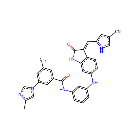 Cc1cn(-c2cc(C(=O)Nc3cccc(Nc4ccc5c(c4)NC(=O)C5=Cc4cc(C#N)c[nH]4)c3)cc(C(F)(F)F)c2)cn1